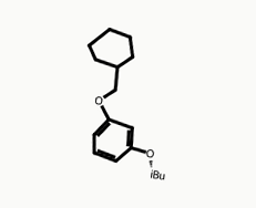 CC[C@@H](C)Oc1cccc(OCC2CCCCC2)c1